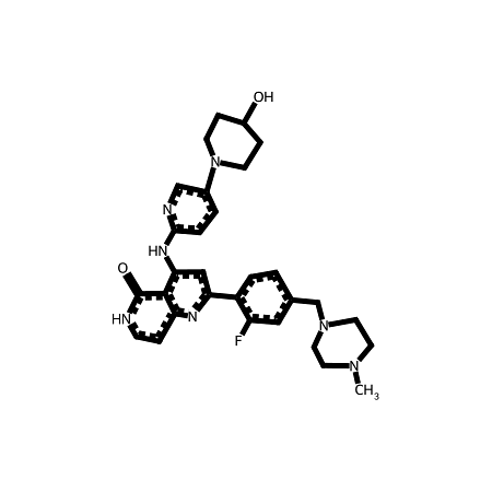 CN1CCN(Cc2ccc(-c3cc(Nc4ccc(N5CCC(O)CC5)cn4)c4c(=O)[nH]ccc4n3)c(F)c2)CC1